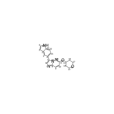 c1cc2cc(-c3cnc4ccc(OC5CCOCC5)nn34)ccc2[nH]1